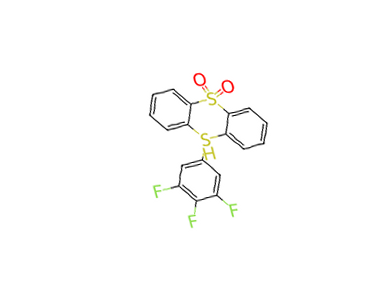 O=S1(=O)c2ccccc2[SH](c2cc(F)c(F)c(F)c2)c2ccccc21